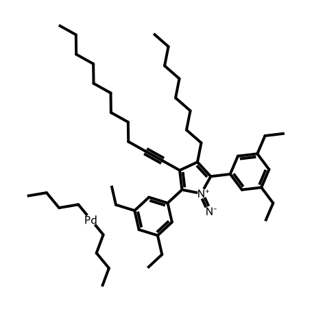 CCCCCCCCCC#CC1=C(c2cc(CC)cc(CC)c2)[N+](=[N-])C(c2cc(CC)cc(CC)c2)=C1CCCCCCCC.CCC[CH2][Pd][CH2]CCC